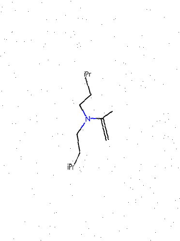 C=C(C)N(CCC(C)C)CCC(C)C